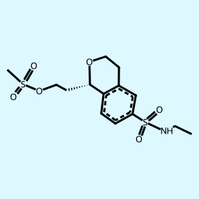 CCNS(=O)(=O)c1ccc2c(c1)CCO[C@H]2CCOS(C)(=O)=O